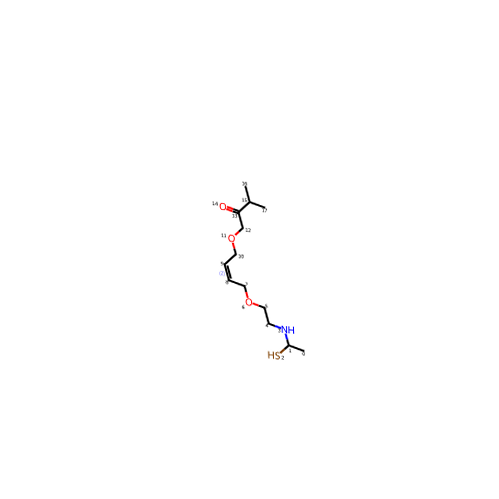 CC(S)NCCOC/C=C\COCC(=O)C(C)C